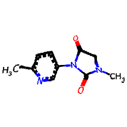 Cc1ccc(N2C(=O)CN(C)C2=O)cn1